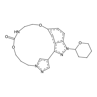 O=C1NCCOc2ccc3c(c2)c(nn3C2CCCCO2)-c2cnn(c2)CCCO1